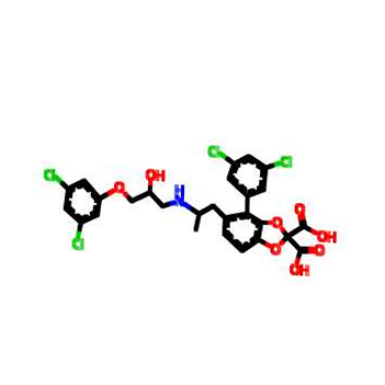 CC(Cc1ccc2c(c1-c1cc(Cl)cc(Cl)c1)OC(C(=O)O)(C(=O)O)O2)NCC(O)COc1cc(Cl)cc(Cl)c1